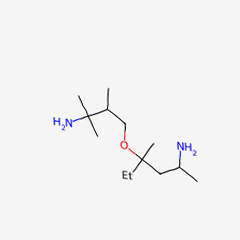 CCC(C)(CC(C)N)OCC(C)C(C)(C)N